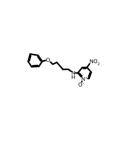 O=[N+]([O-])c1cc[n+]([O-])c(NCCCCOc2ccccc2)c1